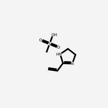 C=CC1=NCCN1.CS(=O)(=O)O